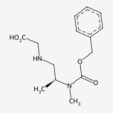 C[C@@H](CNCC(=O)O)N(C)C(=O)OCc1ccccc1